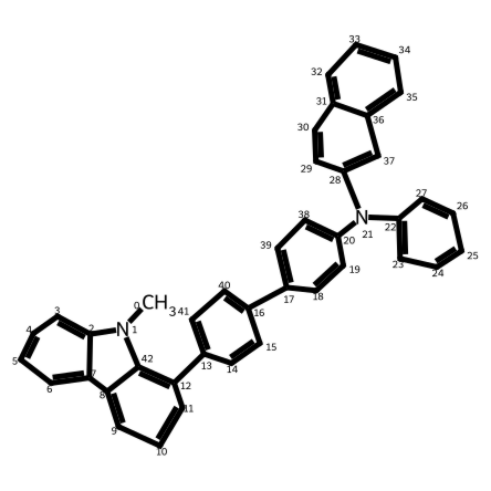 Cn1c2ccccc2c2cccc(-c3ccc(-c4ccc(N(c5ccccc5)c5ccc6ccccc6c5)cc4)cc3)c21